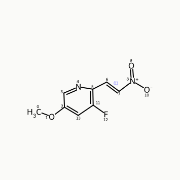 COc1cnc(/C=C/[N+](=O)[O-])c(F)c1